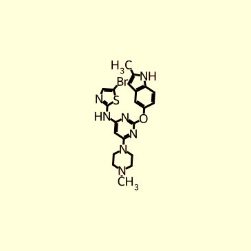 Cc1cc2cc(Oc3nc(Nc4ncc(Br)s4)cc(N4CCN(C)CC4)n3)ccc2[nH]1